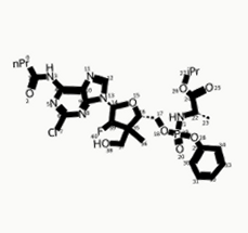 CCCC(=O)Nc1nc(Cl)nc2c1ncn2[C@@H]1O[C@H](COP(=O)(N[C@@H](C)C(=O)OC(C)C)Oc2ccccc2)C(C)(CO)C1F